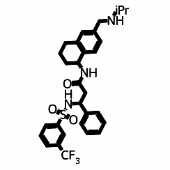 CC(C)NCc1ccc2c(c1)CCCC2NC(=O)CC(NS(=O)(=O)c1cccc(C(F)(F)F)c1)c1ccccc1